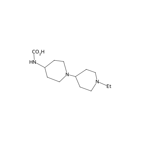 CCN1CCC(N2CCC(NC(=O)O)CC2)CC1